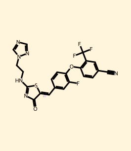 N#Cc1ccc(Oc2ccc(/C=C3\SC(NCCn4cncn4)=NC3=O)cc2F)c(C(F)(F)F)c1